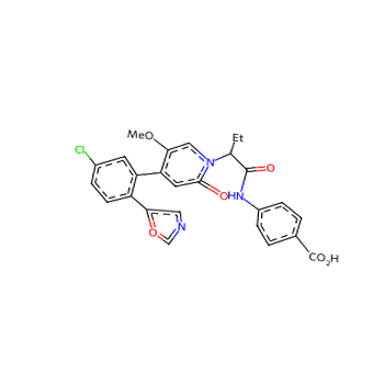 CCC(C(=O)Nc1ccc(C(=O)O)cc1)n1cc(OC)c(-c2cc(Cl)ccc2-c2cnco2)cc1=O